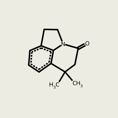 CC1(C)CC(=O)N2CCc3cccc1c32